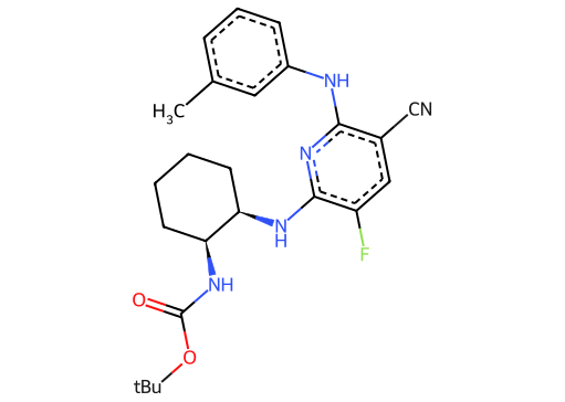 Cc1cccc(Nc2nc(N[C@@H]3CCCC[C@@H]3NC(=O)OC(C)(C)C)c(F)cc2C#N)c1